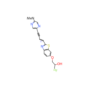 CNc1cnc(C#C/C=C/c2nc3ccc(OCC(O)C[18F])cc3s2)cn1